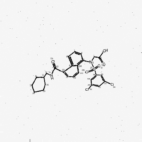 O=C(O)CN(c1cccc2c(C(=O)NCC3CCCCC3)cccc12)S(=O)(=O)c1cc(Cl)cc(Cl)c1